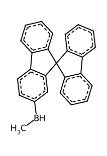 CBc1ccc2c(c1)C1(c3ccccc3-c3ccccc31)c1ccccc1-2